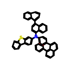 c1ccc(-c2cccc3cccc(-c4ccc(N(c5ccc6c(c5)sc5ccccc56)c5ccc(-c6cccc7ccccc67)c6ccccc56)cc4)c23)cc1